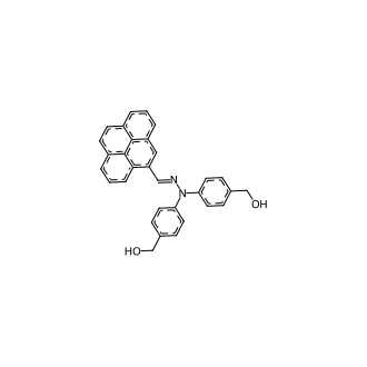 OCc1ccc(N(N=Cc2cc3cccc4ccc5cccc2c5c43)c2ccc(CO)cc2)cc1